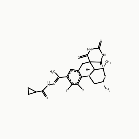 C/C(=N\NC(=O)C1CC1)c1cc2c(c(F)c1F)N1C[C@@H](C)O[C@@H](C)[C@@H]1C1(C2)C(=O)NC(=O)NC1=O